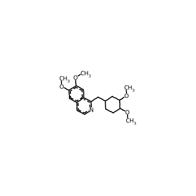 COc1cc2ccnc(CC3CCC(OC)C(OC)C3)c2cc1OC